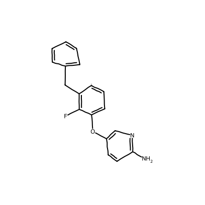 Nc1ccc(Oc2cc[c]c(Cc3ccccc3)c2F)cn1